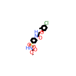 COC(=O)NS(=O)(=O)c1ccc(NC(=O)COc2ccc(Cl)cc2C)cc1